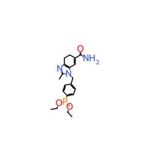 CCOP(OCC)c1ccc(Cn2c(C)nc3c2C=C(C(N)=O)CC3)cc1